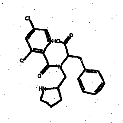 O=C(O)C(Cc1ccccc1)N(CC1CCCN1)C(=O)c1ccc(Cl)cc1Cl